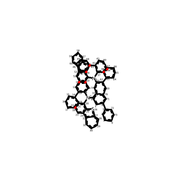 c1ccc(-c2cc(N(c3ccccc3-c3ccccc3)c3cccc4c3sc3ccccc34)c3cc(N(c4ccccc4-c4ccccc4)c4cccc5c4sc4ccccc45)c(-c4ccccc4)cc3c2)cc1